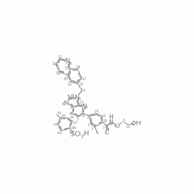 Cc1cc(-c2ccc3nnn(Cc4ccc5ncccc5c4)c3n2)ccc1C(=O)NOCCO.Cc1ccc(S(=O)(=O)O)cc1